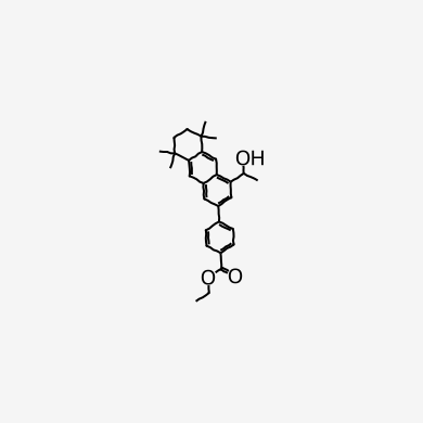 CCOC(=O)c1ccc(-c2cc(C(C)O)c3cc4c(cc3c2)C(C)(C)CCC4(C)C)cc1